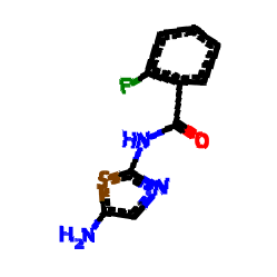 Nc1cnc(NC(=O)c2ccccc2F)s1